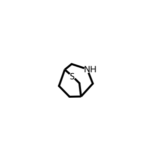 C1CC2CNCC1CS2